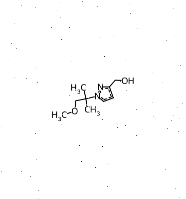 COCC(C)(C)n1ccc(CO)n1